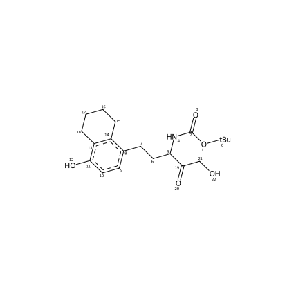 CC(C)(C)OC(=O)NC(CCc1ccc(O)c2c1CCCC2)C(=O)CO